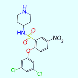 O=[N+]([O-])c1ccc(Oc2cc(Cl)cc(Cl)c2)c(S(=O)(=O)NC2CCNCC2)c1